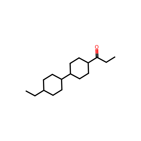 CCC(=O)C1CCC(C2CCC(CC)CC2)CC1